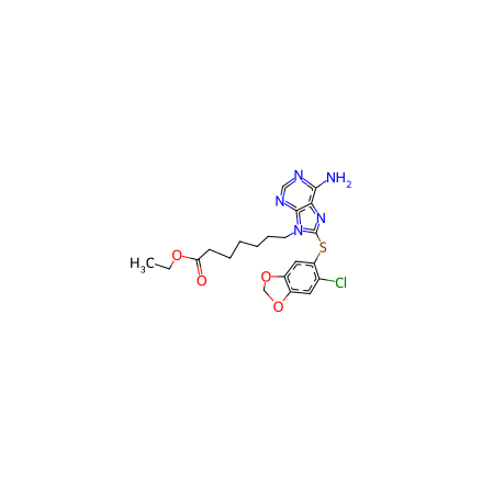 CCOC(=O)CCCCCCn1c(Sc2cc3c(cc2Cl)OCO3)nc2c(N)ncnc21